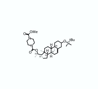 COC(=O)N1CCN(C(=O)O[C@@H](C)[C@H]2CC[C@H]3[C@@H]4CC=C5CC(O[Si](C)(C)C(C)(C)C)CC[C@]5(C)[C@H]4CC[C@]23C)CC1